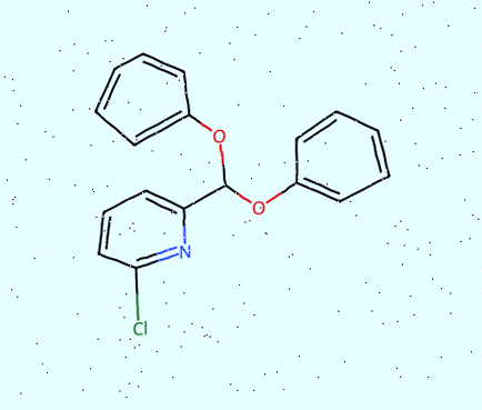 Clc1cccc(C(Oc2ccccc2)Oc2ccccc2)n1